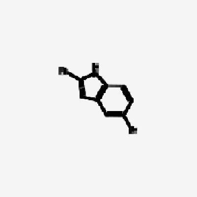 CCc1cc2cc(Br)ccc2[nH]1